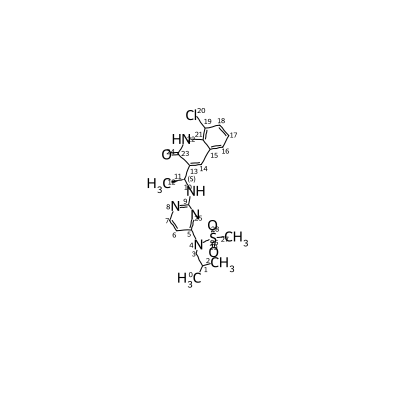 CC(C)CN(c1ccnc(N[C@@H](C)c2cc3cccc(Cl)c3[nH]c2=O)n1)S(C)(=O)=O